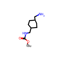 CC(C)(C)OC(=O)NCC1CCC(CN)CC1